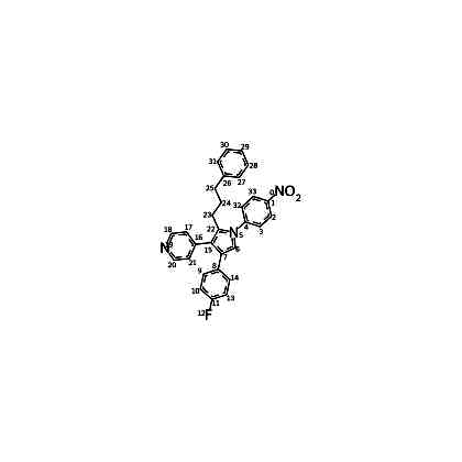 O=[N+]([O-])c1ccc(-n2cc(-c3ccc(F)cc3)c(-c3ccncc3)c2CCCc2ccccc2)cc1